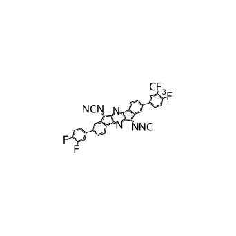 [C-]#[N+]/N=c1\c2cc(-c3ccc(F)c(C(F)(F)F)c3)ccc2c2nc3/c(=N/C#N)c4cc(-c5ccc(F)c(F)c5)ccc4c3nc12